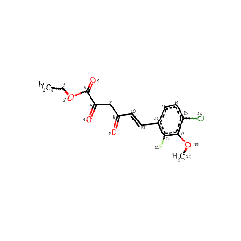 CCOC(=O)C(=O)CC(=O)C=Cc1ccc(Cl)c(OC)c1F